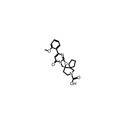 COc1ccccc1-c1cc(=O)n(C[C@]2(OC)CCN(C(=O)O)CC23CCCC3)cn1